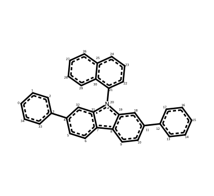 c1ccc(-c2ccc3c4ccc(-c5ccccc5)cc4n(-c4cccc5ccccc45)c3c2)cc1